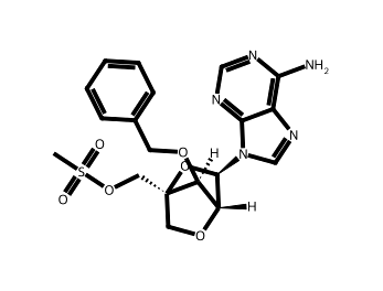 CS(=O)(=O)OC[C@]12CO[C@@H]([C@H](n3cnc4c(N)ncnc43)O1)[C@@H]2OCc1ccccc1